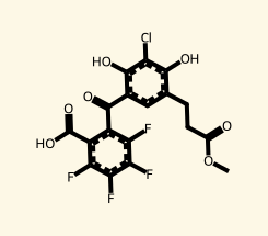 COC(=O)CCc1cc(C(=O)c2c(F)c(F)c(F)c(F)c2C(=O)O)c(O)c(Cl)c1O